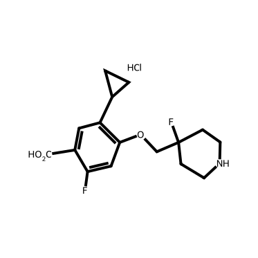 Cl.O=C(O)c1cc(C2CC2)c(OCC2(F)CCNCC2)cc1F